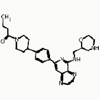 CCCC(=O)N1CCC(c2ccc(-c3cc4nccnc4c(NC[C@@H]4CNCCO4)n3)cc2)CC1